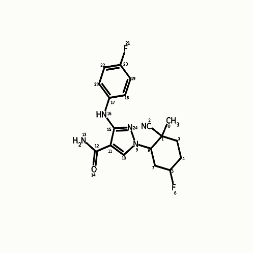 CC1(C#N)CCC(F)CC1n1cc(C(N)=O)c(Nc2ccc(F)cc2)n1